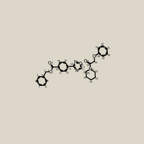 O=C(OCc1ccccc1)c1ccc(-c2noc([C@H]3CCCCN3C(=O)COc3ccccc3)n2)cc1